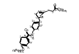 CCCCCc1ccc(C(=O)Nc2ccc(-c3cnc(CCC(=O)OC)s3)cc2)cc1